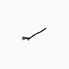 CC#CC#CC#CC#CC#CC#COCCC[N+](C)(C)[O-]